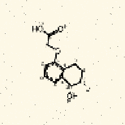 [CH2][C@H]1CCc2c(OCC(=O)O)cccc2[C@H]1O